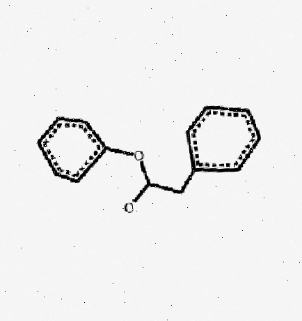 [O]C(Cc1ccccc1)Oc1ccccc1